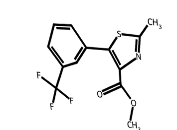 COC(=O)c1nc(C)sc1-c1cccc(C(F)(F)F)c1